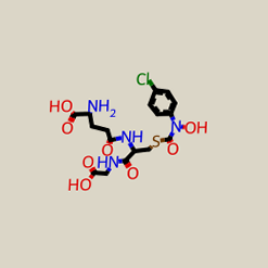 NC(CCC(=O)NC(CSC(=O)N(O)c1ccc(Cl)cc1)C(=O)NCC(=O)O)C(=O)O